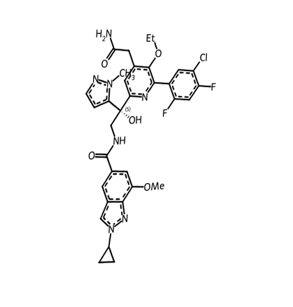 CCOc1c(CC(N)=O)cc([C@@](O)(CNC(=O)c2cc(OC)c3nn(C4CC4)cc3c2)c2ccnn2C)nc1-c1cc(Cl)c(F)cc1F